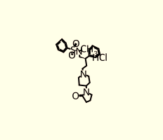 CN(C[C@H](CCN1CCC(N2CCCC2=O)CC1)c1ccccc1)S(=O)(=O)c1ccccc1.Cl